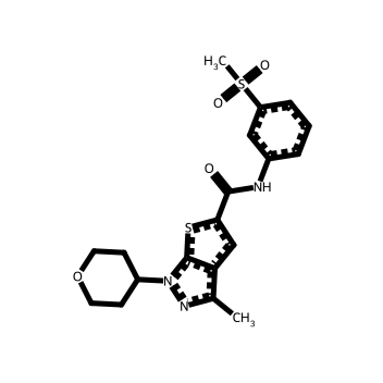 Cc1nn(C2CCOCC2)c2sc(C(=O)Nc3cccc(S(C)(=O)=O)c3)cc12